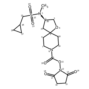 CN([C@H]1COC2(CCN(C(=O)ON3C(=O)CCC3=O)CC2)C1)S(=O)(=O)CC1CC1